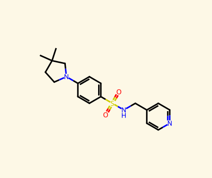 CC1(C)CCN(c2ccc(S(=O)(=O)NCc3ccncc3)cc2)C1